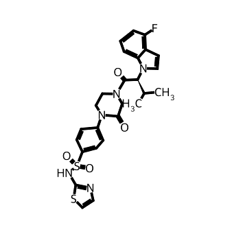 CC(C)[C@@H](C(=O)N1CCN(c2ccc(S(=O)(=O)Nc3nccs3)cc2)C(=O)C1)n1ccc2c(F)cccc21